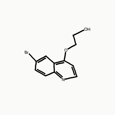 OCCOc1ccnc2ccc(Br)cc12